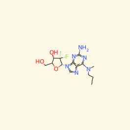 CCCN(C)c1nc(N)nc2c1ncn2[C@@H]1OC(CO)[C@@H](O)[C@@]1(C)F